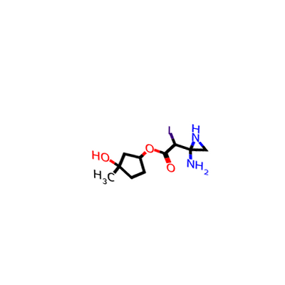 CC1(O)CCC(OC(=O)C(I)C2(N)CN2)C1